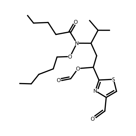 CCCCCON(C(=O)CCCC)C(CC(OC=O)c1nc(C=O)cs1)C(C)C